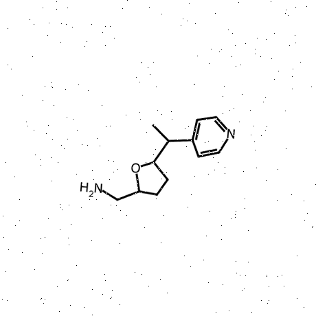 CC(c1ccncc1)C1CCC(CN)O1